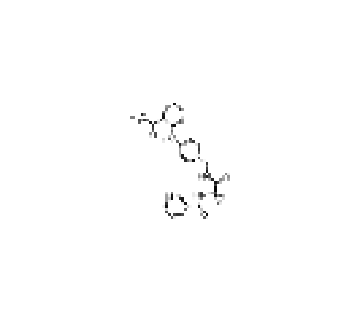 CC(C)c1ccccc1Oc1ccc(CNC(=O)C2(NC(=O)c3cncnc3)CC2)cc1